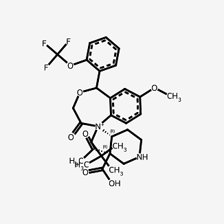 COc1ccc2c(c1)C(c1ccccc1OC(F)(F)F)OCC(=O)[N+]2(CC(C)(C)C)[C@@H]1CCNC[C@@]1(C(C)=O)C(=O)O